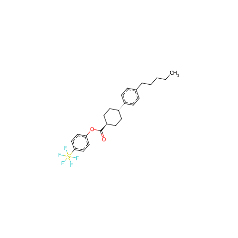 CCCCCc1ccc([C@H]2CC[C@H](C(=O)Oc3ccc(S(F)(F)(F)(F)F)cc3)CC2)cc1